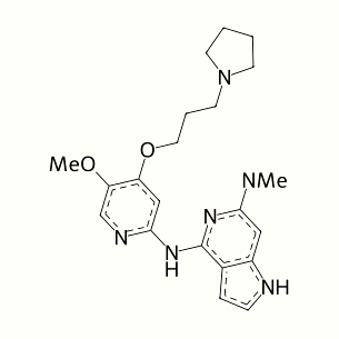 CNc1cc2[nH]ccc2c(Nc2cc(OCCCN3CCCC3)c(OC)cn2)n1